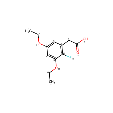 CCOc1cc(CC(=O)O)c(F)c(OCC)c1